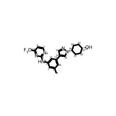 Cc1cc(Nc2nccc(C(F)(F)F)n2)cc(-c2cnn([C@H]3CC[C@@H](O)CC3)c2)c1